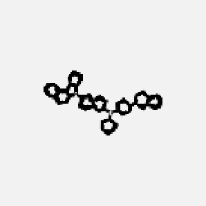 c1ccc(N(c2ccc(-c3ccc4ccccc4c3)cc2)c2ccc3cc(-n4c5ccccc5c5c6ccccc6ccc54)ccc3c2)cc1